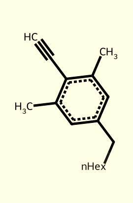 C#Cc1c(C)cc(CCCCCCC)cc1C